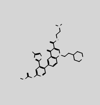 CCCNC(=O)Nc1cc(-c2nc(C(F)(F)F)cs2)c(-c2ccc3c(c2)c(=O)c(C(=O)NCCN(C)C)cn3CCC2CCOCC2)cn1